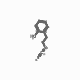 Oc1ccccc1CCN=C=S